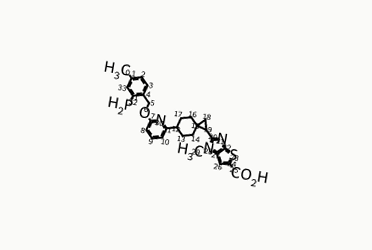 Cc1ccc(COc2cccc(C3CCC4(CC3)CC4c3nc4sc(C(=O)O)cc4n3C)n2)c(P)c1